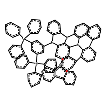 c1ccc(-c2cccc(-c3ccccc3)c2N2c3ccccc3B3c4ccccc4N(c4cc([Si](c5ccccc5)(c5ccccc5)c5ccccc5)cc([Si](c5ccccc5)(c5ccccc5)c5ccccc5)c4)c4cc(-n5c6ccccc6c6ccccc65)cc2c43)cc1